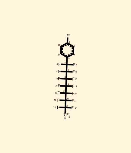 Fc1ccc(C(F)(F)C(F)(F)C(F)(F)C(F)(F)C(F)(F)C(F)(F)C(F)(F)C(F)(F)F)cc1